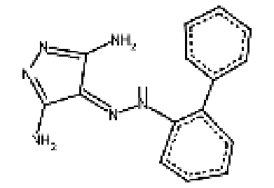 NC1=NN=C(N)C1=NNc1ccccc1-c1ccccc1